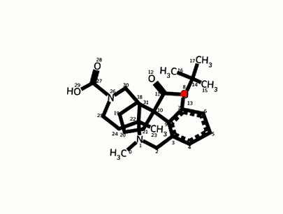 CN(Cc1cccc(Cl)c1C1(C(=O)OC(C)(C)C)CCCC1)C1(C)CCN(C(=O)O)CC1